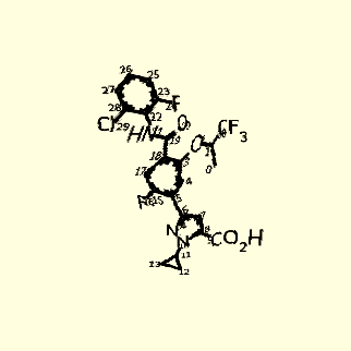 CC(Oc1cc(-c2cc(C(=O)O)n(C3CC3)n2)c(F)cc1C(=O)Nc1c(F)cccc1Cl)C(F)(F)F